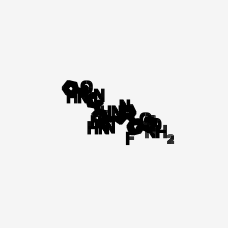 CS(=O)(=O)C(N)c1cc(F)cc(-c2ccnc3[nH]c(-c4n[nH]c5ncc(-c6cncc(NC(=O)C7CCCCC7)c6)cc45)cc23)c1